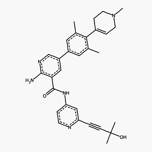 Cc1cc(-c2cnc(N)c(C(=O)Nc3ccnc(C#CC(C)(C)O)c3)c2)cc(C)c1C1=CCN(C)CC1